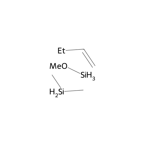 C=CCC.CO[SiH3].C[SiH2]C